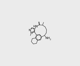 C=C1Nc2cnn(C)c2-c2cc(cc3c2CCCC3)C(N)CCCC1C